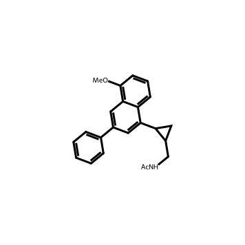 COc1cccc2c(C3CC3CNC(C)=O)cc(-c3ccccc3)cc12